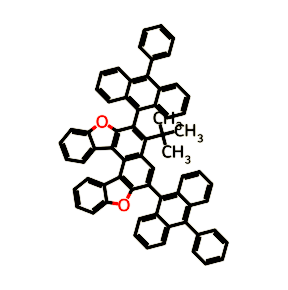 CC(C)(C)c1c(-c2c3ccccc3c(-c3ccccc3)c3ccccc23)c2oc3ccccc3c2c2c1cc(-c1c3ccccc3c(-c3ccccc3)c3ccccc13)c1oc3ccccc3c12